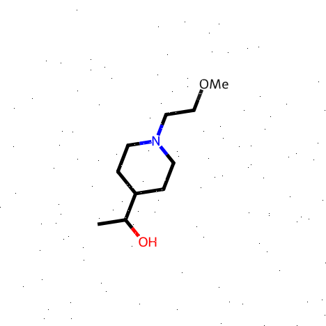 COCCN1CCC(C(C)O)CC1